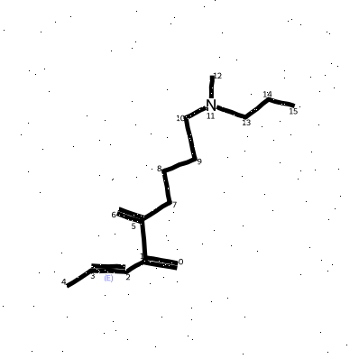 C=C(/C=C/C)C(=C)CCCCN(C)CCC